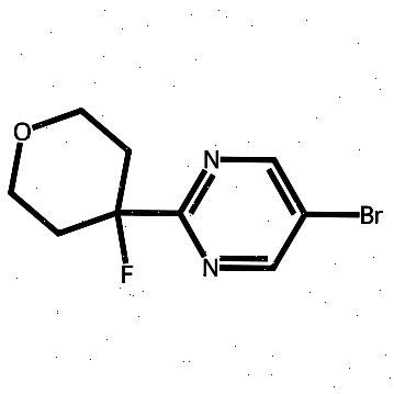 FC1(c2ncc(Br)cn2)CCOCC1